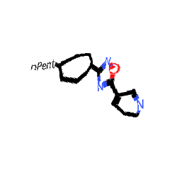 CCCCCC1CCC(c2noc(-c3cccnc3)n2)CC1